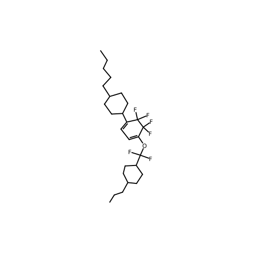 CCCCCC1CCC(C2=CC=C(OC(F)(F)C3CCC(CCC)CC3)C(F)(F)C2(F)F)CC1